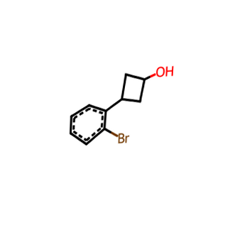 OC1CC(c2ccccc2Br)C1